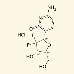 Cl.Nc1ccn([C@@H]2O[C@H](CO)[C@H](O)C2(F)F)c(=O)n1